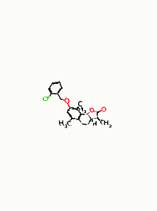 C=C1C(=O)OC2c3c(C)c(OCc4ccccc4Cl)cc(C)c3CC[C@@H]12